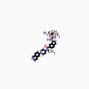 CN(C(=O)c1ccc2c(c1)C(NC(=O)OC(C)(C)C)CC2)C1CCN(c2ccc3cnccc3c2)CC1